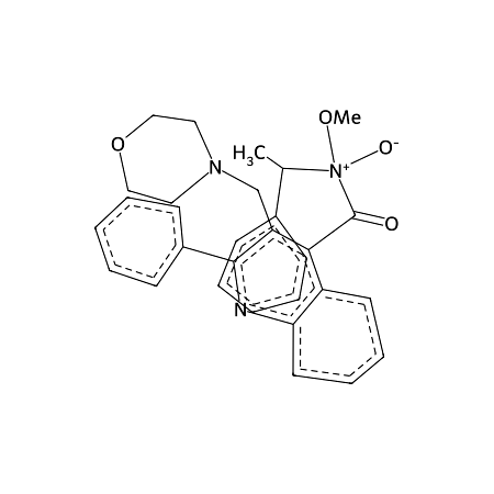 CO[N+]([O-])(C(=O)c1c(CN2CCOCC2)c(-c2ccccc2)nc2ccccc12)C(C)c1ccccc1